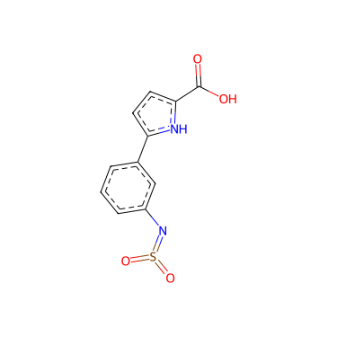 O=C(O)c1ccc(-c2cccc(N=S(=O)=O)c2)[nH]1